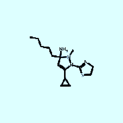 CCCCCC1(N)C=C(C2CC2)N(C2=NCCS2)N1C